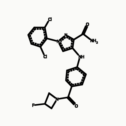 NC(=O)c1nn(-c2c(Cl)cccc2Cl)cc1Nc1ccc(C(=O)N2CC(F)C2)cc1